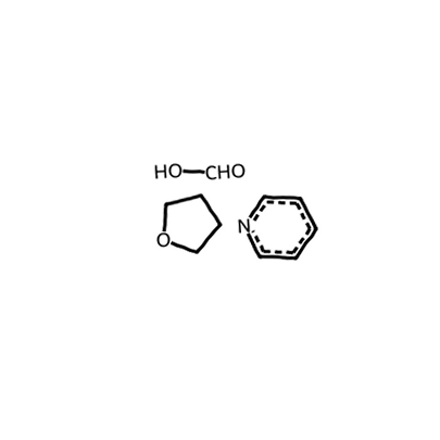 C1CCOC1.O=CO.c1ccncc1